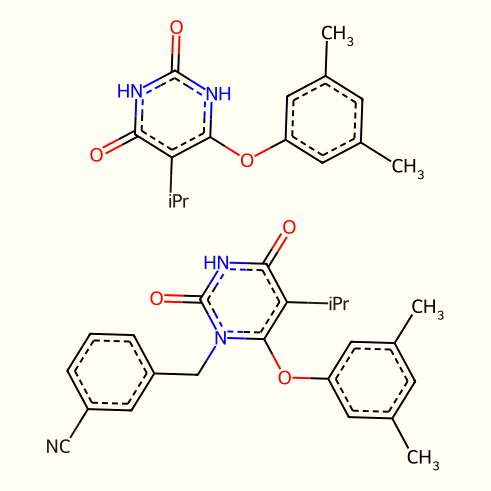 Cc1cc(C)cc(Oc2[nH]c(=O)[nH]c(=O)c2C(C)C)c1.Cc1cc(C)cc(Oc2c(C(C)C)c(=O)[nH]c(=O)n2Cc2cccc(C#N)c2)c1